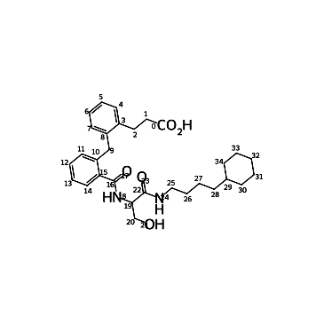 O=C(O)CCc1ccccc1Cc1ccccc1C(=O)NC(CO)C(=O)NCCCCC1CCCCC1